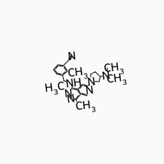 Cc1c(C#N)cccc1[C@@H](C)Nc1nnc(C)c2cnc(N3CCC(N(C)C)C3)cc12